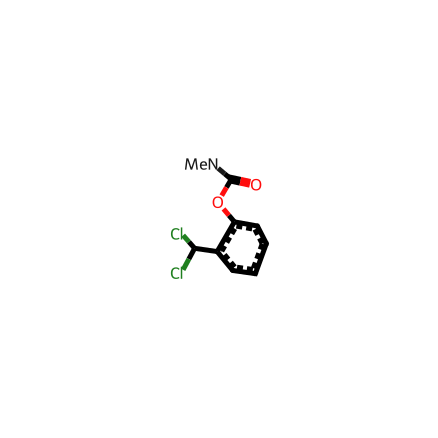 CNC(=O)Oc1ccccc1C(Cl)Cl